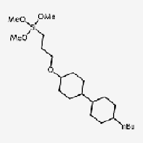 CCCCC1CCC(C2CCC(OCCC[Si](OC)(OC)OC)CC2)CC1